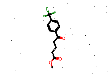 COC(=O)CCCC(=O)c1ccc(C(F)(F)F)cc1